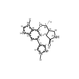 C[C@@H](Oc1nc(-c2cnn(C)c2)cc2ncn(C)c12)C1CNC(=O)C1